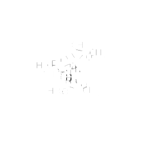 C=C[C@H](F)[C@](C)(NC(=O)N(Cc1ccc(C)cc1OC)Cc1ccc(OC)cc1OC)c1ccccc1F